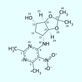 Cc1nc(C)c([N+](=O)[O-])c(N[C@@H]2C[C@H](O)[C@H]3OC(C)(C)O[C@H]32)n1